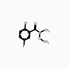 CON(C)C(=O)c1cc(F)ccc1Cl